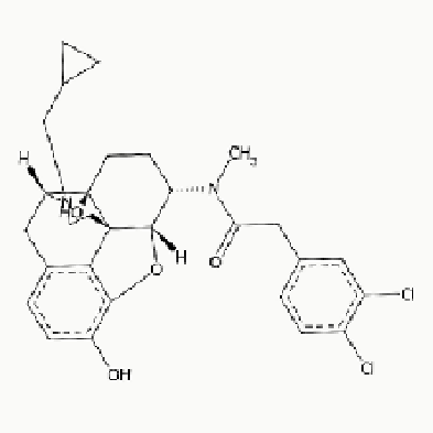 CN(C(=O)Cc1ccc(Cl)c(Cl)c1)[C@H]1CC[C@@]2(O)[C@H]3Cc4ccc(O)c5c4[C@@]2(CCN3CC2CC2)[C@H]1O5